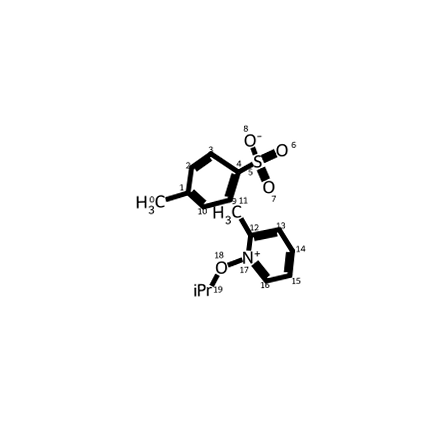 Cc1ccc(S(=O)(=O)[O-])cc1.Cc1cccc[n+]1OC(C)C